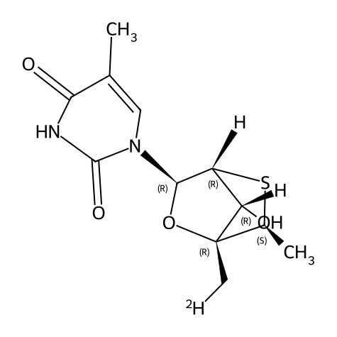 [2H]C[C@]12O[C@@H](n3cc(C)c(=O)[nH]c3=O)[C@H](S[C@H]1C)[C@@H]2O